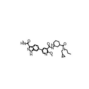 CCCN(CC1CC1)C(=O)C1CCCC(NC(=O)c2cc(-c3ccc4c(C(=O)NC)n[nH]c4c3)cnc2OC)C1